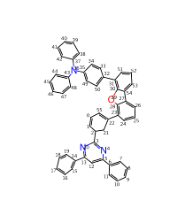 C1=CC(c2nc(-c3ccccc3)cc(-c3ccccc3)n2)CC(c2cccc3c2oc2c(-c4ccc(N(c5ccccc5)c5ccccc5)cc4)cccc23)=C1